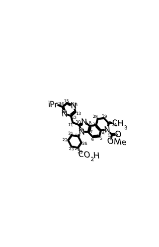 COC(=O)N1c2ccc3c(nc(Cc4cncc(C(C)C)n4)n3[C@@H]3CCC[C@@H](C(=O)O)C3)c2CCC1C